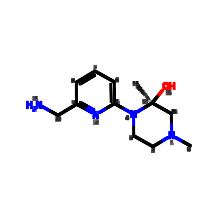 CN1CCN(c2cccc(CN)n2)[C@@](C)(O)C1